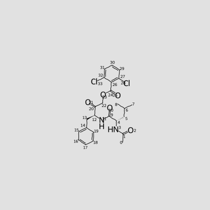 CC(=O)N[C@@H](CC(C)C)C(=O)N[C@@H](Cc1ccccc1)C(=O)COC(=O)c1c(Cl)cccc1Cl